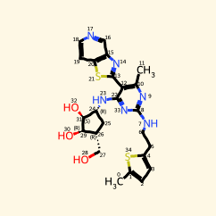 Cc1ccc(CCNc2nc(C)c(-c3nc4cnccc4s3)c(N[C@@H]3C[C@H](CO)[C@@H](O)[C@H]3O)n2)s1